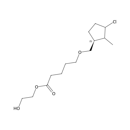 CC1C(Cl)CC[C@@H]1COCCCCC(=O)OCCO